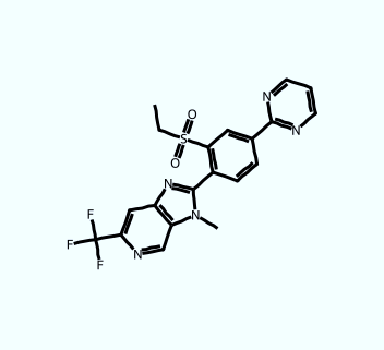 CCS(=O)(=O)c1cc(-c2ncccn2)ccc1-c1nc2cc(C(F)(F)F)ncc2n1C